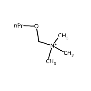 CCCOC[N+](C)(C)C